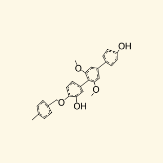 COc1cc(-c2ccc(O)cc2)cc(OC)c1-c1ccc(OCc2ccc(C)cc2)c(O)c1